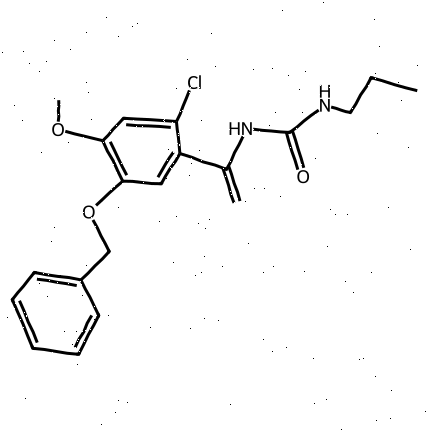 C=C(NC(=O)NCCC)c1cc(OCc2ccccc2)c(OC)cc1Cl